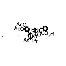 CC(=O)Oc1ccc(C2=CN(C(C)=O)[C@@H](C(C)C)C(=O)N2CC(=O)N[C@@H](Cc2ccccc2)C(=O)C(=O)O)cc1OC(C)=O